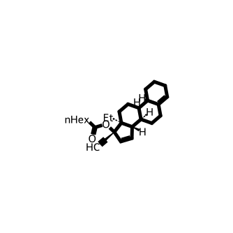 C#C[C@]1(OC(=O)CCCCCC)C=C[C@H]2[C@@H]3CCC4=CCCC[C@@H]4[C@H]3CC[C@@]21CC